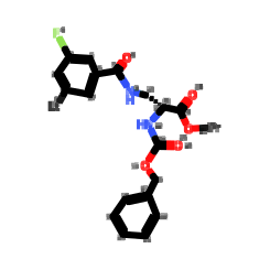 CCc1cc(F)cc(C(=O)NC[C@@H](NC(=O)OCc2ccccc2)C(=O)OC(C)C)c1